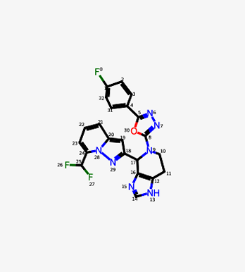 Fc1ccc(-c2nnc(N3CCc4[nH]cnc4C3c3cc4cccc(C(F)F)n4n3)o2)cc1